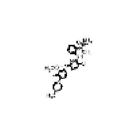 COc1c(Nc2ncc(Cl)c(Nc3ccccc3N(C)S(C)(=O)=O)n2)ccc(N2CCN(C)CC2)c1F